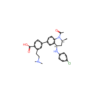 CC(=O)N1c2ccc(-c3ccc(C(=O)O)c(CCN(C)C)c3)cc2[C@H](Nc2ccc(Cl)cc2)C[C@@H]1C